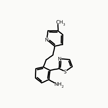 Cc1ccc(CCc2cccc(N)c2-c2nccs2)nc1